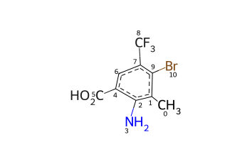 Cc1c(N)c(C(=O)O)cc(C(F)(F)F)c1Br